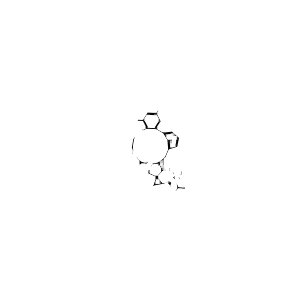 CN1CCOc2c(F)cc(F)cc2-c2cccc(c2F)C[C@H]2[C@@H](NS(=O)(=O)C(F)F)C3(CC3)CN2C1=O